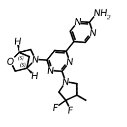 CC1CN(c2nc(-c3cnc(N)nc3)cc(N3C[C@@H]4C[C@H]3CO4)n2)CC1(F)F